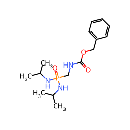 CC(C)NP(=O)(CNC(=O)OCc1ccccc1)NC(C)C